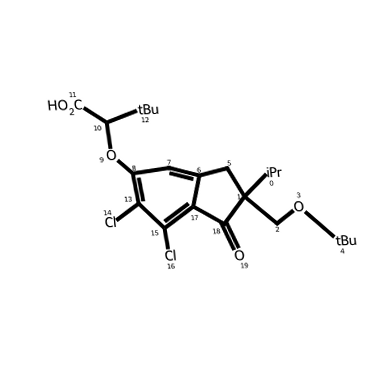 CC(C)C1(COC(C)(C)C)Cc2cc(OC(C(=O)O)C(C)(C)C)c(Cl)c(Cl)c2C1=O